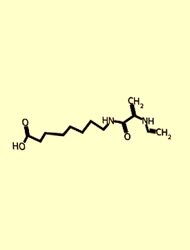 C=CNC(=C)C(=O)NCCCCCCCC(=O)O